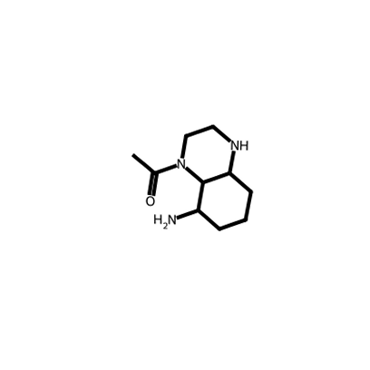 CC(=O)N1CCNC2CCCC(N)C21